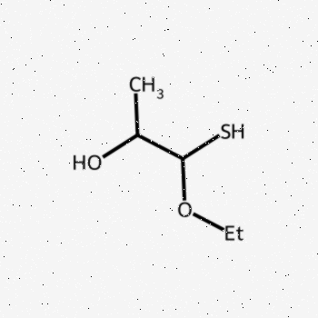 CCOC(S)C(C)O